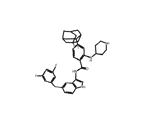 NC12CC3CC(C1)C(c1ccc(C(=O)Nc4c[nH]c5ccc(Cc6cc(F)cc(F)c6)cc45)c(NC4CCNCC4)c1)C(C3)C2